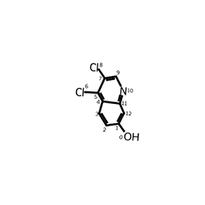 Oc1ccc2c(Cl)c(Cl)cnc2c1